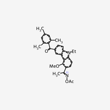 CCn1c2ccc(C(=O)c3c(C)cc(C)cc3C)cc2c2c(OC)c(/C(C)=N/OC(C)=O)ccc21